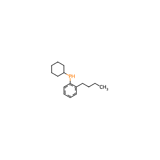 CCCCc1ccccc1PC1CCCCC1